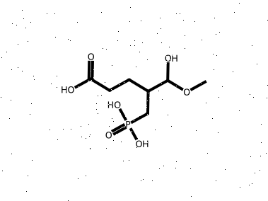 COC(O)C(CCC(=O)O)CP(=O)(O)O